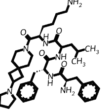 CC(C)CC(NC(=O)[C@@H](Cc1ccccc1)NC(=O)[C@H](N)Cc1ccccc1)C(=O)N[C@H](CCCCN)C(=O)N1CCC2(CC1)CC(N1CCCC1)C2